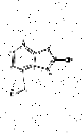 ClCc1ccnc2sc(Cl)nc12